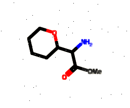 COC(=O)C(N)C1CCCCO1